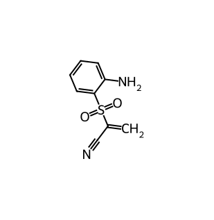 C=C(C#N)S(=O)(=O)c1ccccc1N